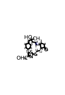 CC(O)(C/C=C/[C@H]1CCC(=O)[C@@H]1CCSc1nc(C=O)cs1)CC1CCCCC1